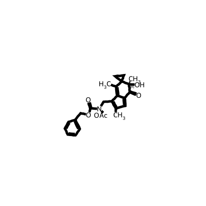 CC(=O)ON(CC1=C(C)C=C2C(=O)[C@](C)(O)C3(CC3)C(C)=C21)C(=O)OCc1ccccc1